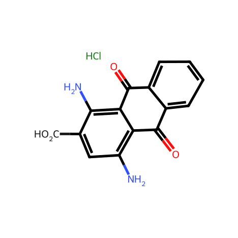 Cl.Nc1cc(C(=O)O)c(N)c2c1C(=O)c1ccccc1C2=O